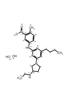 CCCCc1cc(N2CCC(NCC)C2)nc(Nc2ccc(C)c([N+](=O)[O-])c2)n1.Cl.Cl